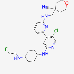 N#CC1(CNc2cccc(-c3cc(NC4CCC(NCCF)CC4)ncc3Cl)n2)CCOCC1